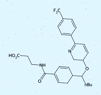 CCCCC(OC1C=CC(c2ccc(C(F)(F)F)cc2)=NC1)C1C=CC(C(=O)NCCC(=O)O)=CC1